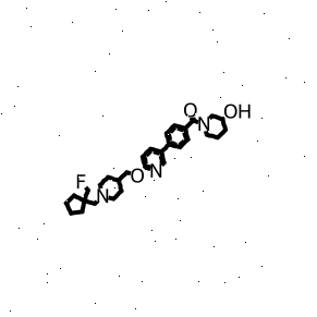 O=C(c1ccc(-c2ccc(OCC3CCN(CC4(CF)CCCC4)CC3)nc2)cc1)N1CCC[C@@H](O)C1